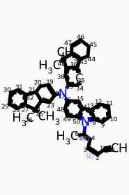 C#C/C=C\C=C(/C)n1c2ccccc2c2cc(N(C3=CCC4C(=C3)C(C)(C)c3ccccc34)c3ccc4c(c3)C(C)(C)C3=C4CCC=C3)ccc21